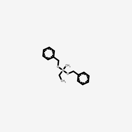 CC[Si](C)(OCc1ccccc1)OCc1ccccc1